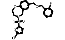 O=S(=O)(c1ccc(Cl)s1)N1CCOc2ccc(COCc3ccccc3F)cc2C1